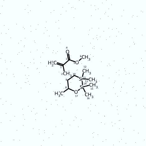 C=C(C)C(=O)OC.CC1CC[Si](C)(C)[Si](C)(C)O1